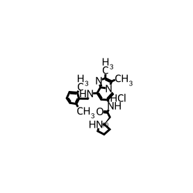 Cc1cccc(C)c1CNc1cc(NC(=O)C[C@H]2CCCN2)cn2c(C)c(C)nc12.Cl